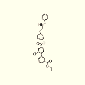 CCOC(=O)c1cccc(-c2ccc(S(=O)(=O)c3ccc(CCNCc4ccccc4)cc3)cc2Cl)c1